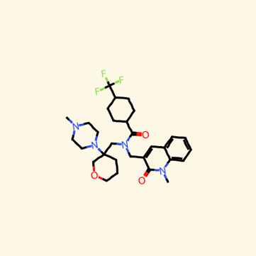 CN1CCN(C2(CN(Cc3cc4ccccc4n(C)c3=O)C(=O)C3CCC(C(F)(F)F)CC3)CCCOC2)CC1